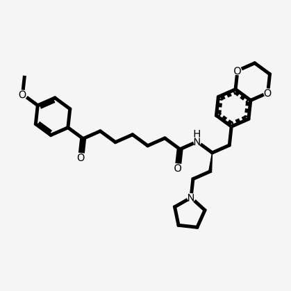 COC1=CCC(C(=O)CCCCCC(=O)N[C@H](CCN2CCCC2)Cc2ccc3c(c2)OCCO3)C=C1